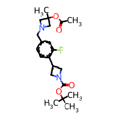 CC(=O)OC1(C)CN(Cc2ccc(C3CN(C(=O)OC(C)(C)C)C3)c(F)c2)C1